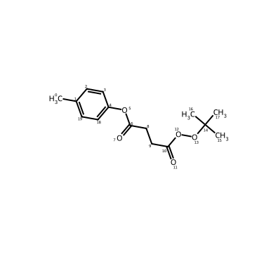 Cc1ccc(OC(=O)CCC(=O)OOC(C)(C)C)cc1